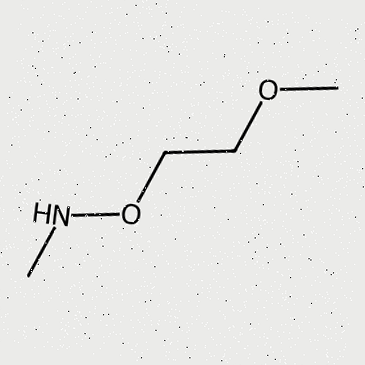 CNOCCOC